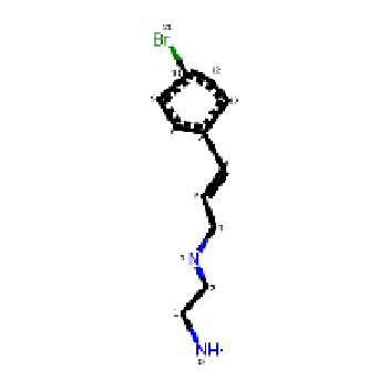 [NH]CC[N]CC=Cc1ccc(Br)cc1